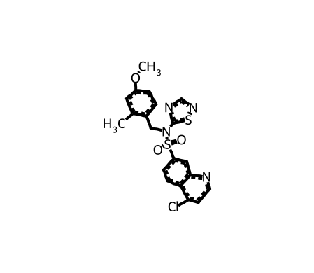 COc1ccc(CN(c2ncns2)S(=O)(=O)c2ccc3c(Cl)ccnc3c2)c(C)c1